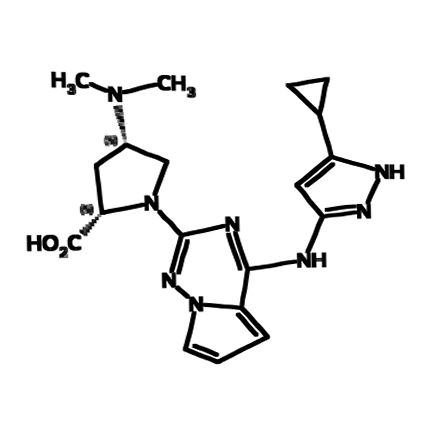 CN(C)[C@H]1C[C@@H](C(=O)O)N(c2nc(Nc3cc(C4CC4)[nH]n3)c3cccn3n2)C1